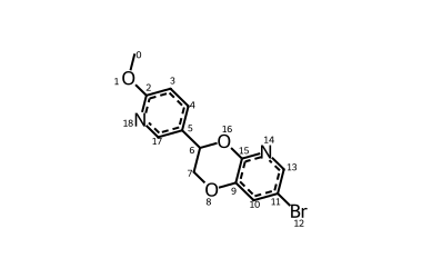 COc1ccc(C2COc3cc(Br)cnc3O2)cn1